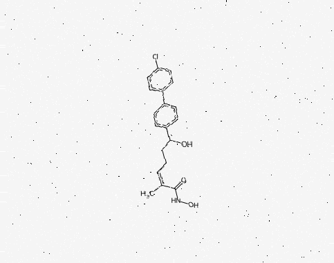 CC(=CCCC(O)c1ccc(-c2ccc(Cl)cc2)cc1)C(=O)NO